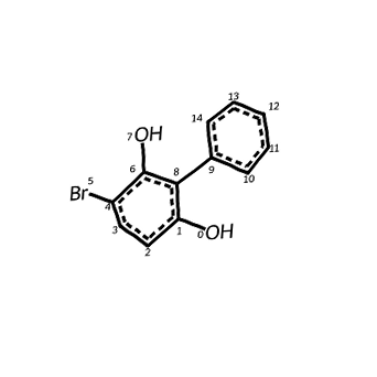 Oc1ccc(Br)c(O)c1-c1ccccc1